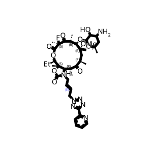 CC[C@H]1OC(=O)[C@@](C)(F)C(=O)[C@H](C)[C@@H](O[C@@H]2O[C@H](C)CC(N)C2O)[C@](C)(OC)C[C@@H](C)C(=O)[C@H](C)[C@H]2N(C/C=C/Cn3nnc(-c4ccccn4)n3)C(=O)O[C@]12C